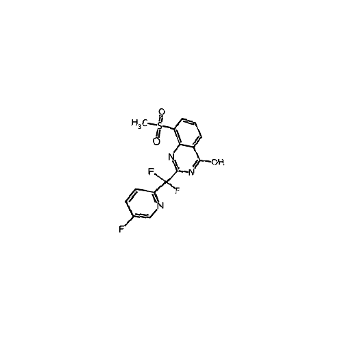 CS(=O)(=O)c1cccc2c(O)nc(C(F)(F)c3ccc(F)cn3)nc12